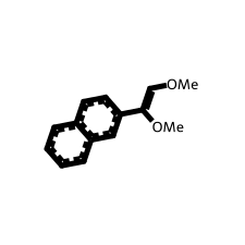 COC=C(OC)c1ccc2ccccc2c1